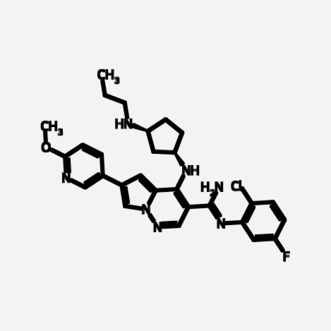 CCCN[C@H]1CC[C@@H](Nc2c(/C(N)=N/c3cc(F)ccc3Cl)cnn3cc(-c4ccc(OC)nc4)cc23)C1